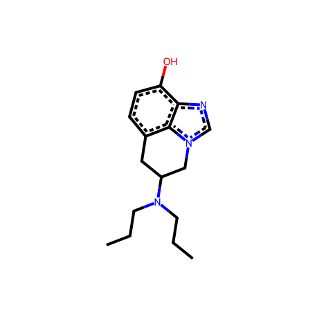 CCCN(CCC)C1Cc2ccc(O)c3ncn(c23)C1